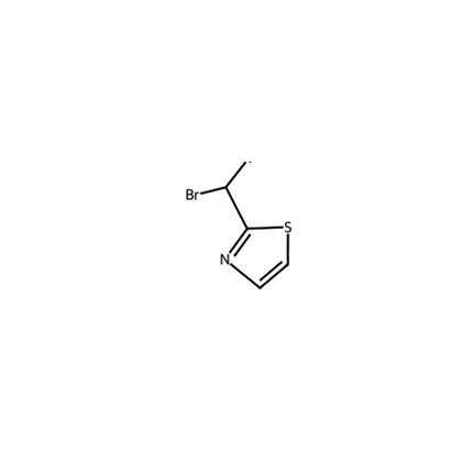 [CH2]C(Br)c1nccs1